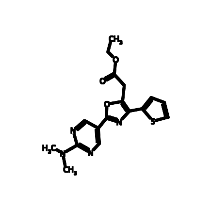 CCOC(=O)Cc1oc(-c2cnc(N(C)C)nc2)nc1-c1cccs1